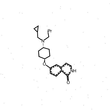 CC(C)CN(CC1CC1)[C@H]1CC[C@H](Oc2ccc3c(=O)[nH]ccc3c2)CC1